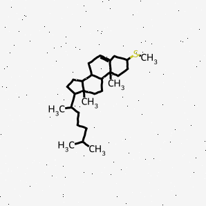 CSC1CCC2(C)C(=CCC3C2CCC2(C)C(C(C)CCCC(C)C)CCC32)C1